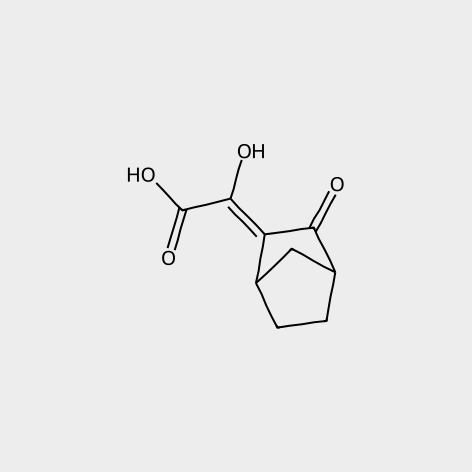 O=C(O)/C(O)=C1/C(=O)C2CCC1C2